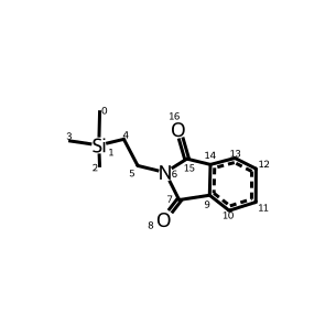 C[Si](C)(C)CCN1C(=O)c2ccccc2C1=O